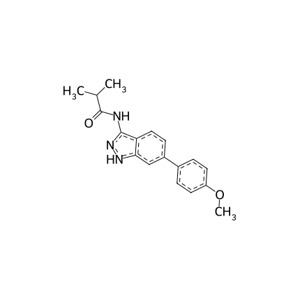 COc1ccc(-c2ccc3c(NC(=O)C(C)C)n[nH]c3c2)cc1